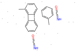 Cc1cccc2c1-c1ccccc1-2.Cc1ccccc1.N=C=O.N=C=O